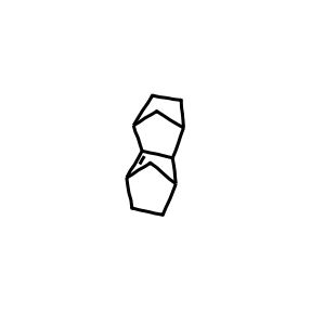 C1CC2CC1=C1C3CCC(C3)C12